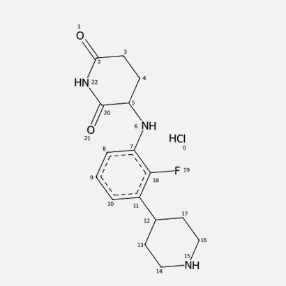 Cl.O=C1CCC(Nc2cccc(C3CCNCC3)c2F)C(=O)N1